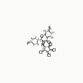 O=C(c1ccc(F)cc1)N(N=C1C(Cl)=C(Cl)C(Cl)=C1Cl)C(=O)c1ccc(F)cc1